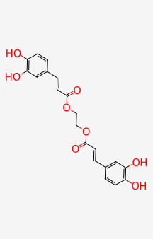 O=C(/C=C/c1ccc(O)c(O)c1)OCCOC(=O)/C=C/c1ccc(O)c(O)c1